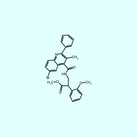 COC(=O)C(CNC(=O)c1c(C)c(-c2ccccc2)nc2ccc(Br)cc12)c1ccccc1OC